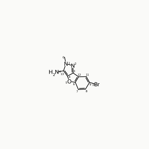 Cn1nc2c(oc3ccc(Br)cc32)c1N